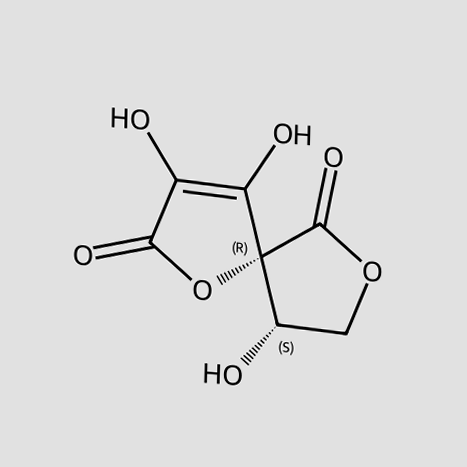 O=C1O[C@@]2(C(=O)OC[C@@H]2O)C(O)=C1O